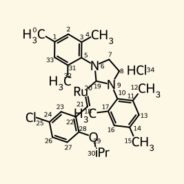 Cc1cc(C)c(N2CCN(c3c(C)cc(C)cc3C)[CH]2[Ru]=[CH]c2cc(Cl)ccc2OC(C)C)c(C)c1.Cl